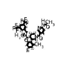 CC(=O)Nc1ccc(C(=O)N2CC[C@@H](C(=O)N(C)Cc3cc(C(F)(F)F)cc(C(F)(F)F)c3)[C@H](c3ccc(F)cc3C)C2)cn1